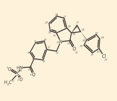 CS(=O)(=O)NC(=O)c1cccc(CN2C(=O)[C@]3(C[C@@H]3c3ccc(Cl)cc3)c3ccccc32)c1